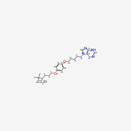 CCOC(=O)C(C)(C)CCCCOc1ccc(OCCCCCn2cnc3c2CN=CN3)cc1